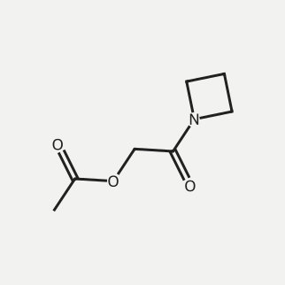 CC(=O)OCC(=O)N1CCC1